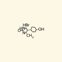 Br.Cc1nc(=O)[nH]cc1-c1ccc(O)cc1